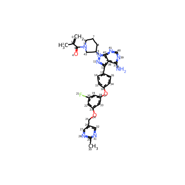 C=C(C)C(=O)N1CCC[C@@H](n2nc(-c3ccc(Oc4cc(F)cc(OCc5cnc(C)nc5)c4)cc3)c3c(N)ncnc32)C1